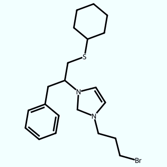 BrCCCN1C=CN(C(CSC2CCCCC2)Cc2ccccc2)C1